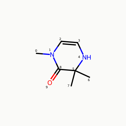 CN1C=CNC(C)(C)C1=O